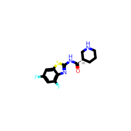 O=C(Nc1nc2c(F)cc(F)cc2s1)[C@H]1CCCNC1